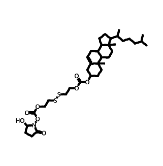 CC(C)CCCC(C)C1CCC2C3CC=C4CC(OC(=O)OCCSSCCOC(=O)ON5C(=O)CCC5O)CCC4(C)C3CCC12C